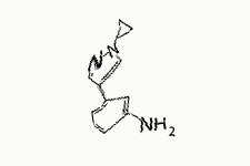 Nc1cccc(-c2cnn(C3CC3)c2)c1